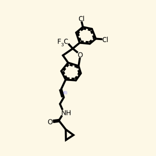 O=C(NC/C=C/c1ccc2c(c1)CC(c1cc(Cl)cc(Cl)c1)(C(F)(F)F)O2)C1CC1